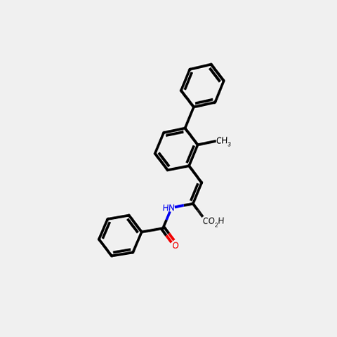 Cc1c(C=C(NC(=O)c2ccccc2)C(=O)O)cccc1-c1ccccc1